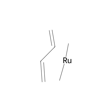 C=CC=C.[CH3][Ru][CH3]